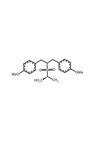 COc1ccc(CN(Cc2ccc(OC)cc2)S(=O)(=O)[C@@H](C)C(=O)O)cc1